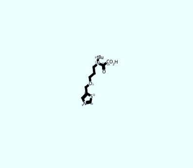 CC(C)(C)N(CCCOCc1cncs1)C(=O)C(=O)O